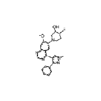 COc1cc2ncnc(-c3cn(C)nc3-c3ccccc3)c2cc1N1CCC(F)C(O)C1